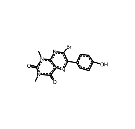 Cn1c(=O)c2nc(-c3ccc(O)cc3)c(Br)nc2n(C)c1=O